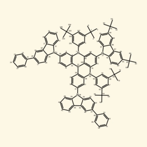 CC(C)(C)c1cc(N2c3cc(-n4c5ccccc5c5cc(-c6ccccc6)ccc54)ccc3B3c4ccc(-n5c6ccccc6c6cc(-c7ccccc7)ccc65)cc4N(c4cc(C(C)(C)C)cc(C(C)(C)C)c4)c4cc(-n5c6ccc(C(C)(C)C)cc6c6cc(C(C)(C)C)ccc65)cc2c43)cc(C(C)(C)C)c1